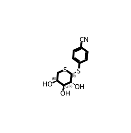 N#Cc1ccc(S[C@H]2SC[C@H](O)[C@H](O)[C@H]2O)cc1